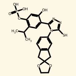 CC(C)c1cc(-c2nnc(S)n2-c2ccc3c(c2)CC2(C3)OCCO2)c(O)cc1OP(=O)(O)O